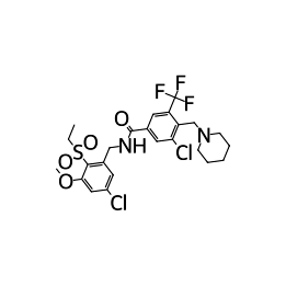 CCS(=O)(=O)c1c(CNC(=O)c2cc(Cl)c(CN3CCCCC3)c(C(F)(F)F)c2)cc(Cl)cc1OC